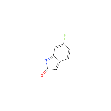 O=C1C=c2ccc(F)cc2=N1